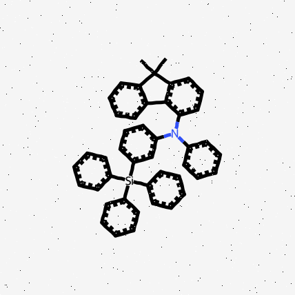 CC1(C)c2ccccc2-c2c(N(c3ccccc3)c3cccc([Si](c4ccccc4)(c4ccccc4)c4ccccc4)c3)cccc21